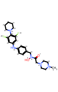 CN1CCN(CC(=O)N(O)Cc2ccc(Nc3cc(F)c(N4CCCCC4)c(F)c3)cc2)CC1